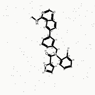 CNc1ncnc2ccc(-c3cccc(CN(C(=O)c4ccno4)c4ccccc4F)c3)cc12